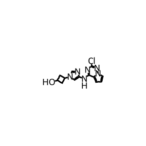 OC1CC(n2cnc(Nc3nc(Cl)nn4cccc34)c2)C1